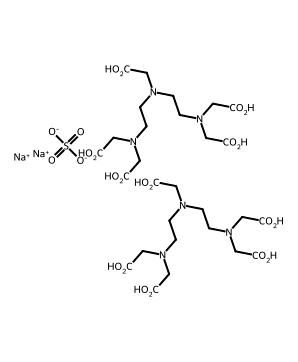 O=C(O)CN(CCN(CC(=O)O)CC(=O)O)CCN(CC(=O)O)CC(=O)O.O=C(O)CN(CCN(CC(=O)O)CC(=O)O)CCN(CC(=O)O)CC(=O)O.O=S(=O)([O-])[O-].[Na+].[Na+]